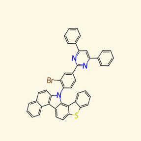 Brc1cc(-c2nc(-c3ccccc3)cc(-c3ccccc3)n2)ccc1-n1c2ccc3ccccc3c2c2ccc3sc4ccccc4c3c21